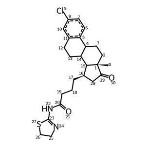 C[C@]12CCC3c4ccc(Cl)cc4CCC3C1[C@H](CCCC(=O)NC1=NCCS1)CC2=O